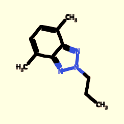 CCCn1nc2c(C)ccc(C)c2n1